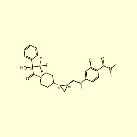 CN(C)C(=O)c1ccc(NC[C@H]2C[C@@H]2C2CCN(C(=O)[C@](O)(c3ccccc3)C(F)(F)F)CC2)cc1Cl